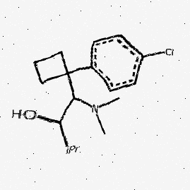 CC(C)C(O)C(N(C)C)C1(c2ccc(Cl)cc2)CCC1